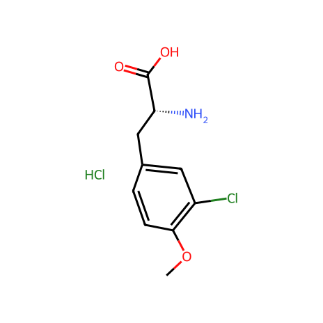 COc1ccc(C[C@@H](N)C(=O)O)cc1Cl.Cl